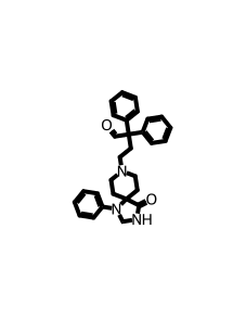 O=CC(CCN1CCC2(CC1)C(=O)NCN2c1ccccc1)(c1ccccc1)c1ccccc1